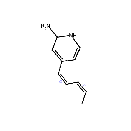 C/C=C\C=C/C1=CC(N)NC=C1